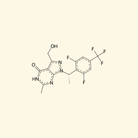 Cc1nc2c(c(CO)nn2[C@@H](C)c2c(F)cc(C(F)(F)F)cc2F)c(=O)[nH]1